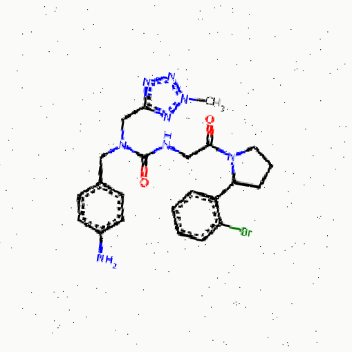 Cn1nnc(CN(Cc2ccc(N)cc2)C(=O)NCC(=O)N2CCCC2c2ccccc2Br)n1